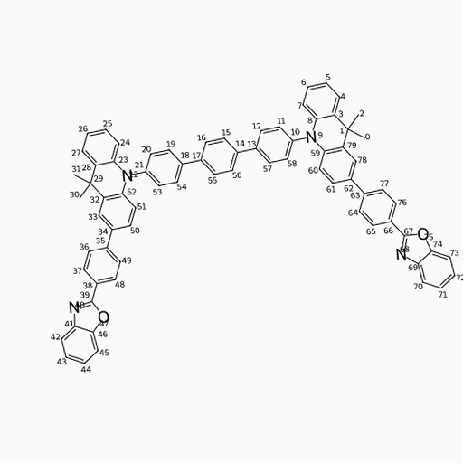 CC1(C)c2ccccc2N(c2ccc(-c3ccc(-c4ccc(N5c6ccccc6C(C)(C)c6cc(-c7ccc(-c8nc9ccccc9o8)cc7)ccc65)cc4)cc3)cc2)c2ccc(-c3ccc(-c4nc5ccccc5o4)cc3)cc21